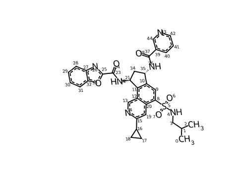 CC(C)CNS(=O)(=O)c1cc2c(c3cnc(C4CC4)cc13)[C@@H](NC(=O)c1nc3ccccc3o1)C[C@@H]2NC(=O)c1cccnc1